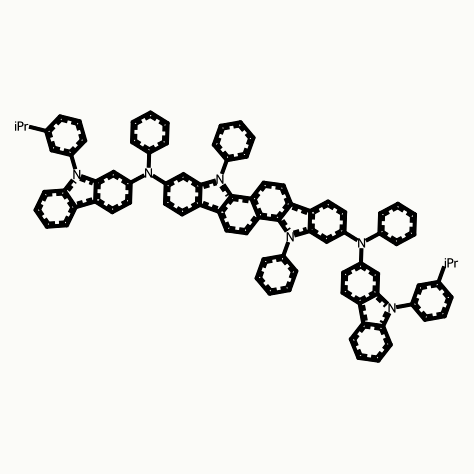 CC(C)c1cccc(-n2c3ccccc3c3ccc(N(c4ccccc4)c4ccc5c6ccc7c(ccc8c9ccc(N(c%10ccccc%10)c%10ccc%11c%12ccccc%12n(-c%12cccc(C(C)C)c%12)c%11c%10)cc9n(-c9ccccc9)c87)c6n(-c6ccccc6)c5c4)cc32)c1